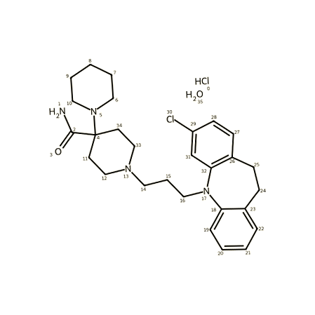 Cl.NC(=O)C1(N2CCCCC2)CCN(CCCN2c3ccccc3CCc3ccc(Cl)cc32)CC1.O